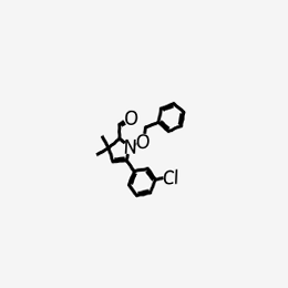 CC1(C)C=C(c2cccc(Cl)c2)N(OCc2ccccc2)C1C=O